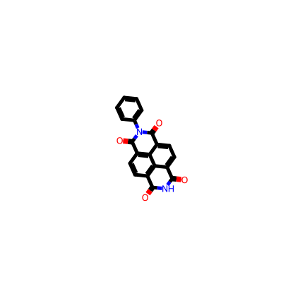 O=C1NC(=O)c2ccc3c4c(ccc1c24)C(=O)N(c1ccccc1)C3=O